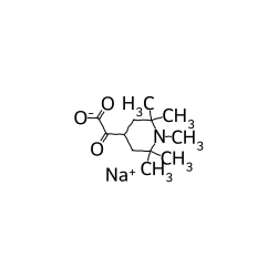 CN1C(C)(C)CC(C(=O)C(=O)[O-])CC1(C)C.[Na+]